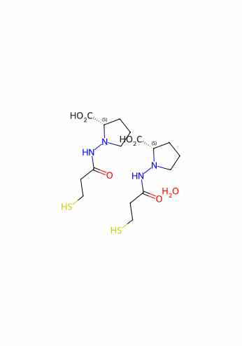 O.O=C(CCS)NN1CCC[C@H]1C(=O)O.O=C(CCS)NN1CCC[C@H]1C(=O)O